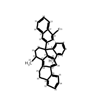 Cc1ccccc1C1(c2cc(F)c3ccccc3c2)CCC(C)c2c1ccc1c2CCc2ccccc2-1